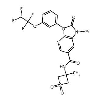 CC(C)n1c(=O)n(-c2cccc(OC(F)(F)C(F)F)c2)c2ncc(C(=O)NC3(C)CS(=O)(=O)C3)cc21